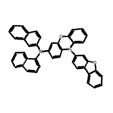 c1ccc2c(c1)Oc1cc(N(c3ccc4ccccc4c3)c3cccc4ccccc34)ccc1N2c1ccc2c(c1)oc1ccccc12